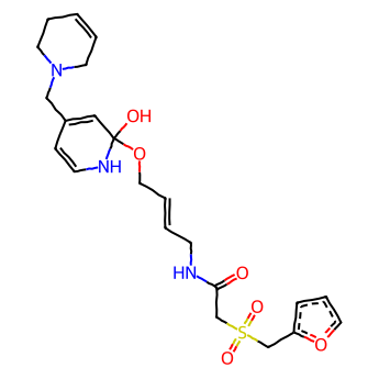 O=C(CS(=O)(=O)Cc1ccco1)NCC=CCOC1(O)C=C(CN2CC=CCC2)C=CN1